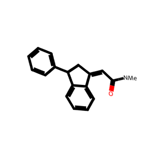 CNC(=O)/C=C1/CC(c2ccccc2)c2ccccc21